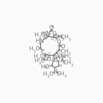 CC[C@H]1OC(=O)C(C)C(=O)[C@H](C)[C@@H](O[C@@H]2O[C@H](C(C)N)C[C@H](N(C)C)[C@H]2O)[C@](C)(OC)C[C@@H](C)CN[C@H](C)[C@H]2NC(=O)O[C@@]21C